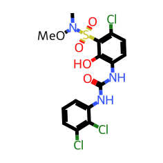 CON(C)S(=O)(=O)c1c(Cl)ccc(NC(=O)Nc2cccc(Cl)c2Cl)c1O